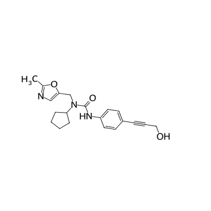 Cc1ncc(CN(C(=O)Nc2ccc(C#CCO)cc2)C2CCCC2)o1